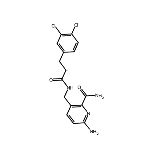 NC(=O)c1nc(N)ccc1CNC(=O)[CH]Cc1ccc(Cl)c(Cl)c1